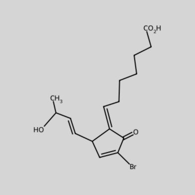 CC(O)C=CC1C=C(Br)C(=O)C1=CCCCCCC(=O)O